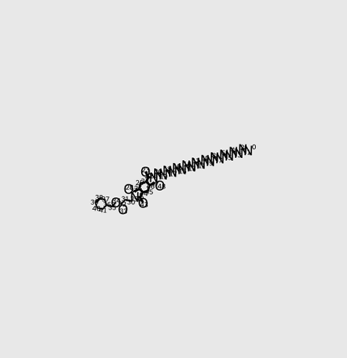 CN=NN=NN=NN=NN=NN=NN=NN=NN=NN=Nn1c(=O)c2cc3c(=O)n(CCC(=O)OCC4CC=CCC4)c(=O)c3cc2c1=O